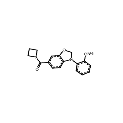 COc1ccccc1N1COc2cc(C(=O)N3CCC3)ccc21